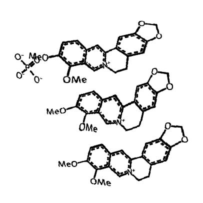 COc1ccc2cc3[n+](cc2c1OC)CCc1cc2c(cc1-3)OCO2.COc1ccc2cc3[n+](cc2c1OC)CCc1cc2c(cc1-3)OCO2.COc1ccc2cc3[n+](cc2c1OC)CCc1cc2c(cc1-3)OCO2.O=P([O-])([O-])[O-]